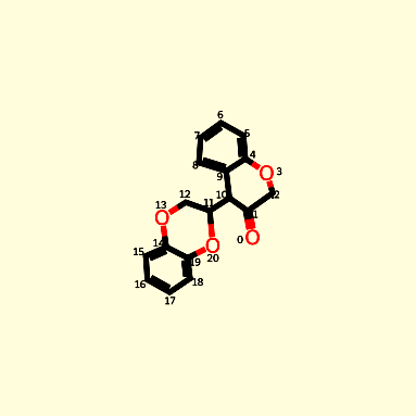 O=C1[CH]Oc2ccccc2C1C1COc2ccccc2O1